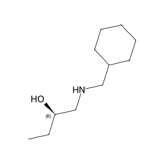 CC[C@@H](O)CNCC1CCCCC1